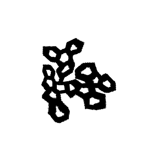 c1ccc2c(c1)-c1ccccc1C21c2ccccc2-c2cc(-c3cccc4ccccc34)c(N(c3ccc4c5ccccc5c5ccccc5c4c3)c3cccc4ccccc34)cc21